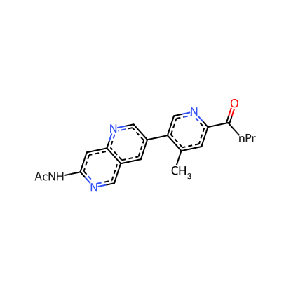 CCCC(=O)c1cc(C)c(-c2cnc3cc(NC(C)=O)ncc3c2)cn1